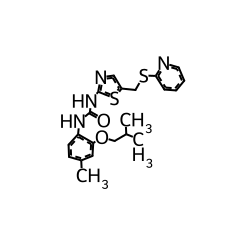 Cc1ccc(NC(=O)Nc2ncc(CSc3ccccn3)s2)c(OCC(C)C)c1